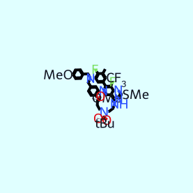 COc1ccc(CN(Cc2ccc(OC)cc2)c2cc(-c3nc4c5c(nc(SC)nc5c3F)NCCN(C(=O)OC(C)(C)C)CC[C@H](C)O4)c(C(F)(F)F)c(C)c2F)cc1